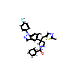 Cc1ncc(CC2(c3cc4cnn(-c5ccc(F)cc5)c4cc3C)CCN(C(=O)c3ccccc3)C2)s1